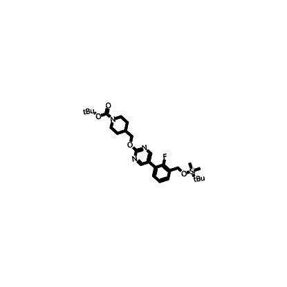 CC(C)(C)OC(=O)N1CCC(COc2ncc(-c3cccc(CO[Si](C)(C)C(C)(C)C)c3F)cn2)CC1